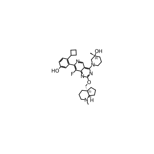 CN1CCC[C@@]2(COc3nc(N4CCC[C@@](C)(O)C4)c4cnc(-c5cc(O)ccc5C5CCC5)c(F)c4n3)CCC[C@@H]12